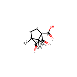 CC12CC[C@@](C(=O)O)(C(=O)C1=O)C2(C)C